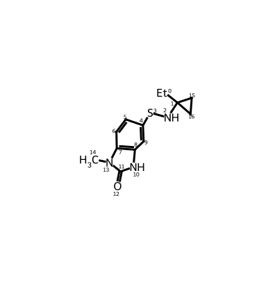 CCC1(NSc2ccc3c(c2)[nH]c(=O)n3C)CC1